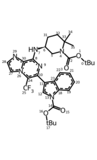 CC(C)(C)OC(=O)N1C[C@@H](Nc2nc(-c3cn(C(=O)OC(C)(C)C)c4ccccc34)c(C(F)(F)F)n3ccnc23)CCC1(C)C